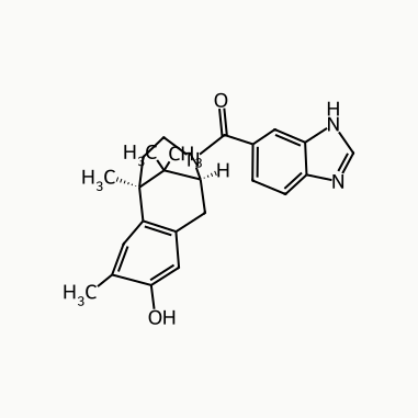 Cc1cc2c(cc1O)C[C@@H]1N(C(=O)c3ccc4nc[nH]c4c3)CC[C@@]2(C)C1(C)C